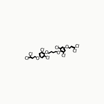 ClC(Cl)=CCOc1cc(Cl)c(OCCCCOc2c(Cl)cc(OCC=C(Cl)Cl)cc2Cl)c(Cl)c1